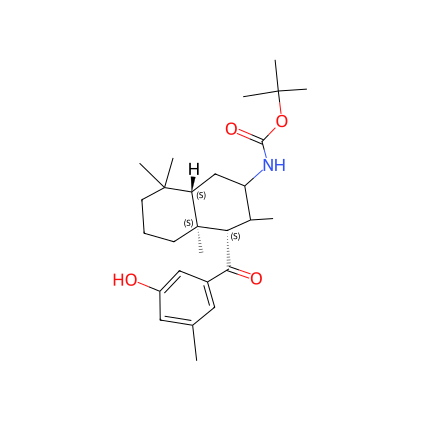 Cc1cc(O)cc(C(=O)[C@H]2C(C)C(NC(=O)OC(C)(C)C)C[C@H]3C(C)(C)CCC[C@]23C)c1